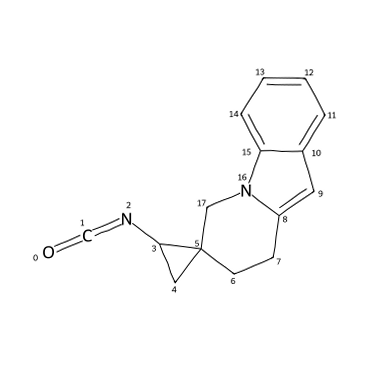 O=C=NC1CC12CCc1cc3ccccc3n1C2